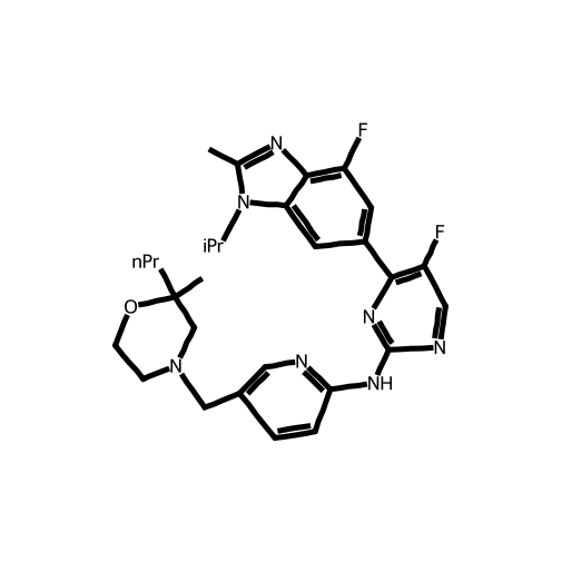 CCCC1(C)CN(Cc2ccc(Nc3ncc(F)c(-c4cc(F)c5nc(C)n(C(C)C)c5c4)n3)nc2)CCO1